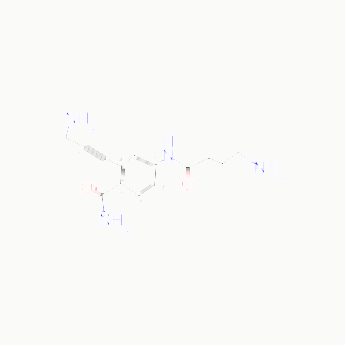 NCC#Cc1cc(NC(=O)CCCN)ccc1C(N)=O